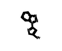 CC(C)C1=CC(n2nnc3ccccc32)=NC1